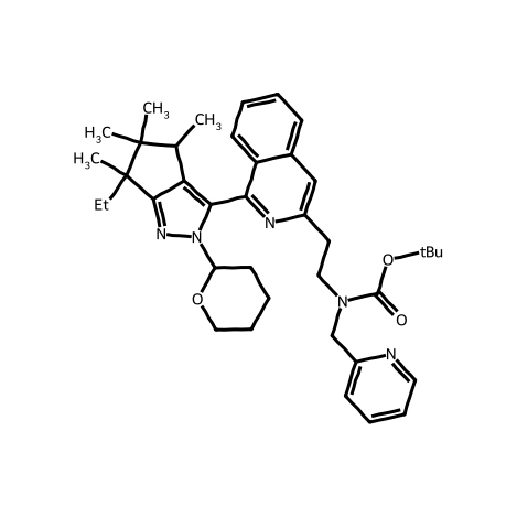 CCC1(C)c2nn(C3CCCCO3)c(-c3nc(CCN(Cc4ccccn4)C(=O)OC(C)(C)C)cc4ccccc34)c2C(C)C1(C)C